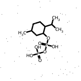 CC1CCC(C(C)C)C(OP(=O)(O)OP(=O)(O)O)C1